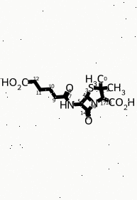 CC1(C)SC2C(NC(=O)CCCCC(=O)O)C(=O)N2C1C(=O)O